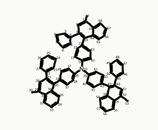 Cc1cc(-c2ccccc2)c(-c2ccc(N(c3ccc(-c4c(-c5ccccc5)cc(C)c5ccccc45)cc3)c3ccc(-c4c(-c5ccccc5)cc(C)c5ccccc45)cc3)cc2)c2ccccc12